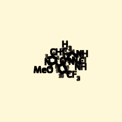 COc1ncc(C)cc1-c1ccc(C(F)(F)F)cc1Oc1nn(C(=N)Cl)c(=N)cc1C